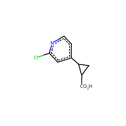 O=C(O)C1CC1c1ccnc(Cl)c1